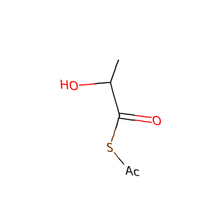 CC(=O)SC(=O)C(C)O